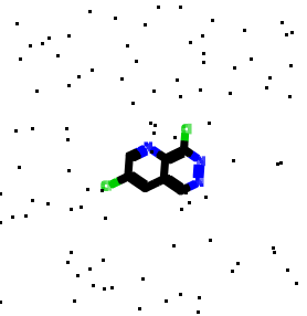 Clc1cnc2c(Cl)nncc2c1